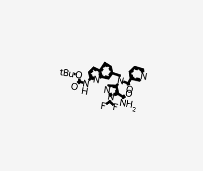 CC(C)(C)OC(=O)Nc1ccc2ccc(CN(C(=O)c3cccnc3)c3cnn(C(F)F)c3C(N)=O)cc2n1